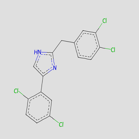 Clc1ccc(Cl)c(-c2c[nH]c(Cc3ccc(Cl)c(Cl)c3)n2)c1